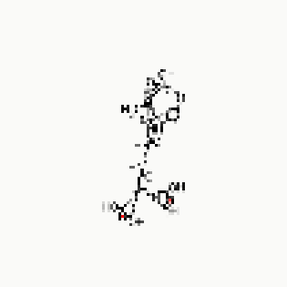 CC1C[C@H]2C(=O)N1C(C(=O)NCC(=O)NCCCNC(=O)CN(CCN(CC(=O)O)CC(=O)O)CCN(CC(=O)O)CC(=O)O)Cc1ccc(cc1)OCCC[C@@H]2C(=O)NO